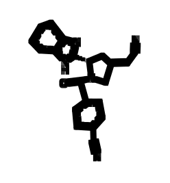 N#C/C=C1\C[C@@H](c2nc3ccccc3[nH]2)N(C(=O)c2ccc(C#N)cc2)C1